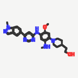 CNc1cc(Nc2cc(-c3ccc4c(cnn4C)c3)ncn2)c(OC)cc1N1CCC(CCO)CC1